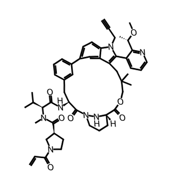 C#CCn1c(-c2cccnc2[C@H](C)OC)c2c3cc(ccc31)-c1cccc(c1)C[C@H](NC(=O)[C@H](C(C)C)N(C)C(=O)[C@H]1CCN(C(=O)C=C)C1)C(=O)N1CCC[C@H](N1)C(=O)OCC(C)(C)C2